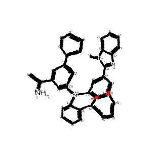 C=C(N)c1cc(-c2ccccc2)cc(N(c2cccc(-c3nc4ccccc4n3C)c2)c2ccccc2-c2ccccc2)c1